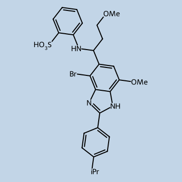 COCCC(Nc1ccccc1S(=O)(=O)O)c1cc(OC)c2[nH]c(-c3ccc(C(C)C)cc3)nc2c1Br